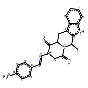 CC1c2[nH]c3ccccc3c2CC2C(=O)N(/N=C/c3ccc(C(F)(F)F)cc3)CC(=O)N21